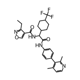 CCc1nocc1C(=O)NC(C(=O)Nc1ccc(-c2c(C)ccnc2C)cc1)C1CCC(C(F)(F)F)CC1